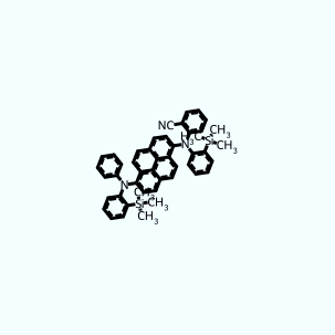 C[Si](C)(C)c1ccccc1N(c1ccccc1)c1ccc2ccc3c(N(c4ccccc4C#N)c4ccccc4[Si](C)(C)C)ccc4ccc1c2c43